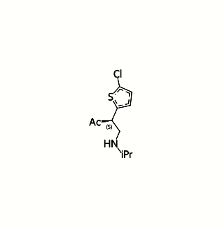 CC(=O)[C@H](CNC(C)C)c1ccc(Cl)s1